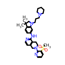 CC1(C)CN(CCCN2CCCCC2)c2cc(Nc3nccc4c3CCN(c3ncccc3S(C)(=O)=O)C4)ccc21